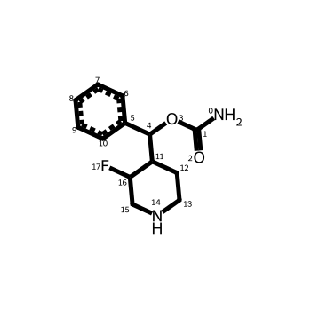 NC(=O)OC(c1ccccc1)C1CCNCC1F